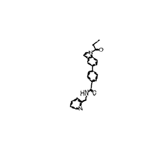 CCC(=O)n1ccc2cc(-c3ccc(C(=O)NCc4ccccn4)cc3)ccc21